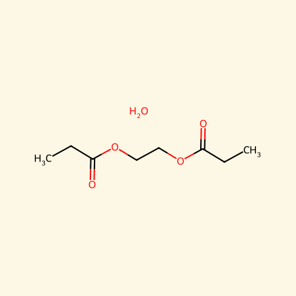 CCC(=O)OCCOC(=O)CC.O